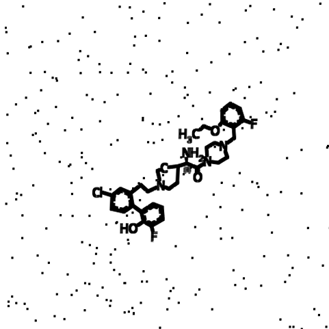 CCOc1cccc(F)c1CN1CCN(C(=O)[C@H](N)C2CCN(CCc3cc(Cl)ccc3-c3cccc(F)c3O)CC2)CC1